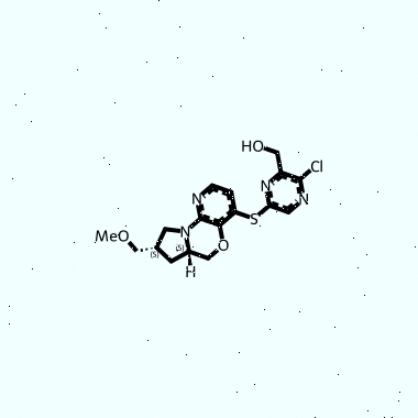 COC[C@H]1C[C@H]2COc3c(Sc4cnc(Cl)c(CO)n4)ccnc3N2C1